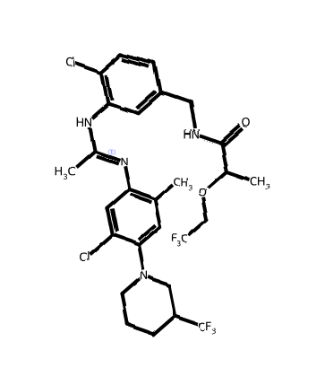 C/C(=N\c1cc(Cl)c(N2CCCC(C(F)(F)F)C2)cc1C)Nc1cc(CNC(=O)C(C)OCC(F)(F)F)ccc1Cl